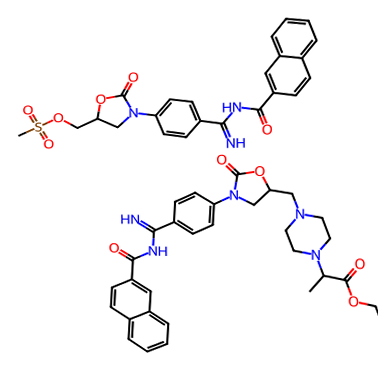 CCOC(=O)C(C)N1CCN(CC2CN(c3ccc(C(=N)NC(=O)c4ccc5ccccc5c4)cc3)C(=O)O2)CC1.CS(=O)(=O)OCC1CN(c2ccc(C(=N)NC(=O)c3ccc4ccccc4c3)cc2)C(=O)O1